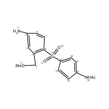 COCc1cc(N)ccc1S(=O)(=O)c1ccc(NC(C)=O)cc1